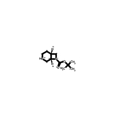 CC(C)(C)OC(=O)N1C[C@H]2CCNC[C@H]21